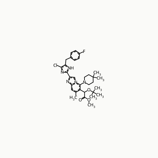 COC(=O)C(OC(C)(C)C)c1c(C)cc2nc(-c3nc(Cl)c(Cc4ccc(F)cc4)[nH]3)cn2c1N1CCC(C)(C)CC1